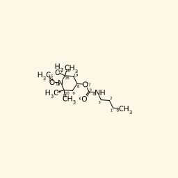 CCCCNC(=O)OC1CC(C)(C)N(OC)C(C)(C)C1